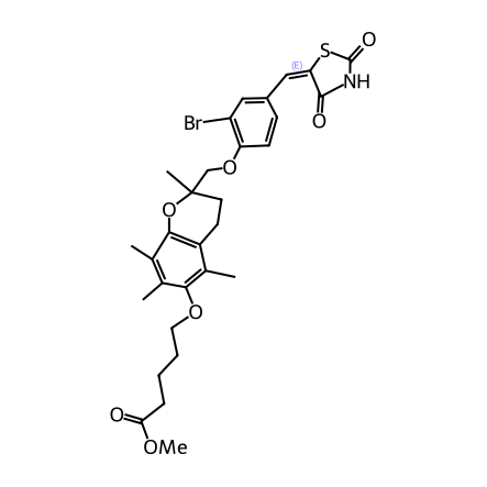 COC(=O)CCCCOc1c(C)c(C)c2c(c1C)CCC(C)(COc1ccc(/C=C3/SC(=O)NC3=O)cc1Br)O2